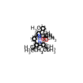 Cc1cccc(C)c1-c1ccc(-c2cccc(-c3cc(C(C)(C)C)cc4c3[nH]c3c(B5OC(C)(C)C(C)(C)O5)cc(C(C)(C)C)cc34)c2)nc1